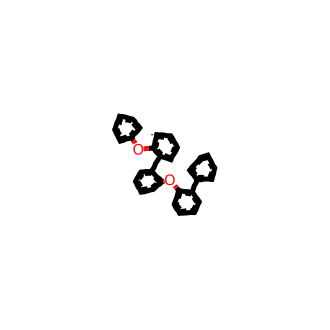 [c]1cccc(-c2ccccc2Oc2ccccc2-c2ccccc2)c1Oc1ccccc1